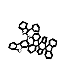 c1ccc(-c2c(N(c3ccc4oc5ccccc5c4c3)c3cccc4c3-c3ccccc3C43c4ccccc4C4(c5ccccc5-c5ccccc54)c4ccccc43)sc3ccccc23)cc1